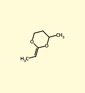 CC=C1OCCC(C)O1